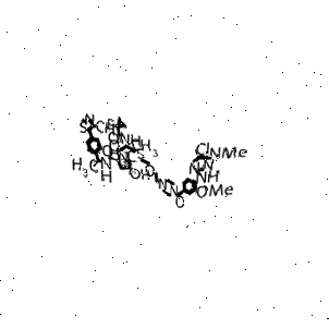 CNc1nc(Nc2ccc(C(=O)N3CCN(CCOCCSC(C)(C)[C@H](NC(=O)C4(F)CC4)C(=O)N4C[C@H](O)C[C@H]4C(=O)N[C@@H](C)c4ccc(-c5scnc5C)cc4)CC3)cc2OC)ncc1Cl